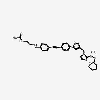 C[C@H](OC1CCCCO1)c1nccn1Cc1cc(-c2ccc(C#Cc3ccc(CNCCNC(=O)O)cc3)cc2)on1